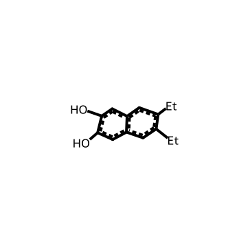 CCc1cc2cc(O)c(O)cc2cc1CC